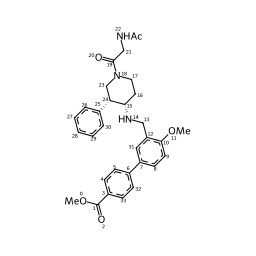 COC(=O)c1ccc(-c2ccc(OC)c(CN[C@H]3CCN(C(=O)CNC(C)=O)C[C@H]3c3ccccc3)c2)cc1